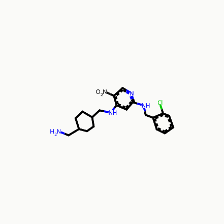 NCC1CCC(CNc2cc(NCc3ccccc3Cl)ncc2[N+](=O)[O-])CC1